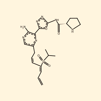 C=C/C=C(\C=C/Cc1cnc(N)c(-c2nnc(NC(=O)[C@@H]3CCCN3)o2)n1)S(=O)(=O)C(C)C